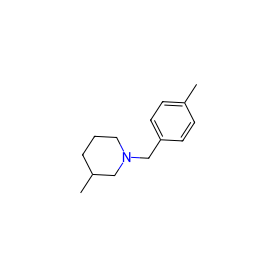 Cc1ccc(CN2CCCC(C)C2)cc1